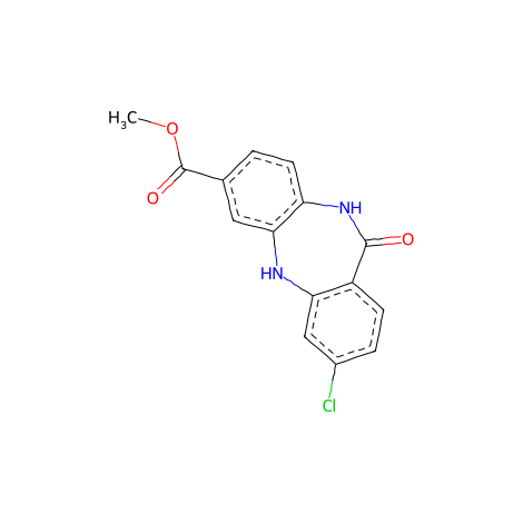 COC(=O)c1ccc2c(c1)Nc1cc(Cl)ccc1C(=O)N2